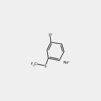 [Na+].[O-]c1cccc(SC(F)(F)F)c1